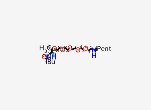 CCCC(C)NCCOCCOCCOCCOCCOC(C)C(F)CNC(=O)C(C)CC